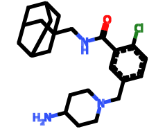 NC1CCN(Cc2ccc(Cl)c(C(=O)NCC34CC5CC(CC(C5)C3)C4)c2)CC1